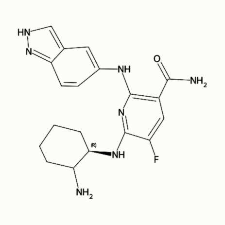 NC(=O)c1cc(F)c(N[C@@H]2CCCCC2N)nc1Nc1ccc2n[nH]cc2c1